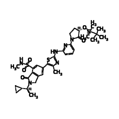 CNS(=O)(=O)c1cc(-c2sc(Nc3cccc(N4CC[C@H](O[Si](C)(C)C(C)(C)C)C4=O)n3)nc2C)cc2c1C(=O)N([C@@H](C)C1CC1)C2